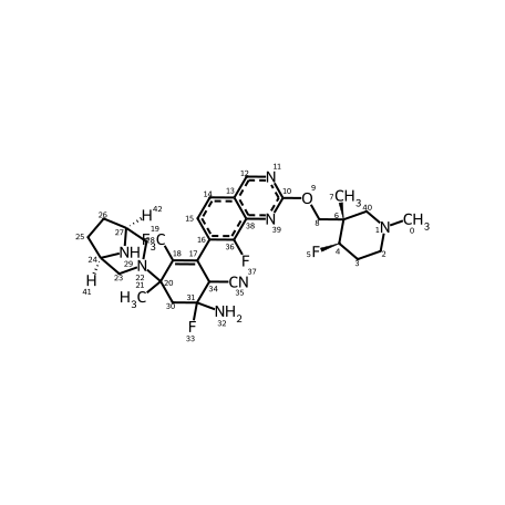 CN1CC[C@@H](F)[C@](C)(COc2ncc3ccc(C4=C(C(F)(F)F)C(C)(N5C[C@H]6CC[C@@H](C5)N6)CC(N)(F)C4C#N)c(F)c3n2)C1